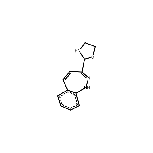 C1=Cc2ccccc2NN=C1C1NCCO1